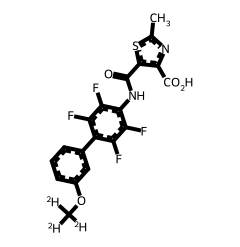 [2H]C([2H])([2H])Oc1cccc(-c2c(F)c(F)c(NC(=O)c3sc(C)nc3C(=O)O)c(F)c2F)c1